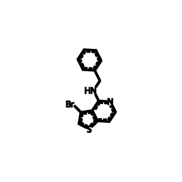 Brc1csc2ccnc(NCc3ccccc3)c12